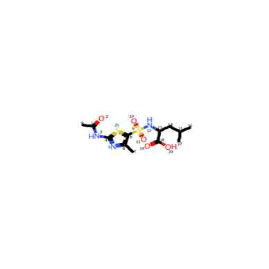 CC(=O)Nc1nc(C)c(S(=O)(=O)NC(CC(C)C)C(=O)O)s1